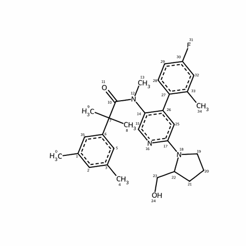 Cc1cc(C)cc(C(C)(C)C(=O)N(C)c2cnc(N3CCCC3CO)cc2-c2ccc(F)cc2C)c1